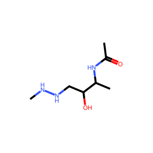 CNNCC(O)C(C)NC(C)=O